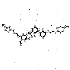 Cc1c(OCCCN2CCC(O)CC2)cccc1-c1cccc2c1CC[C@@H]2Oc1cc(OCCCN2CC[C@@H](O)C2)c(C=O)cc1Cl